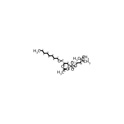 CCCCCCCCOC[C@H](COP(=O)([O-])OCC[N+](C)(C)C)OC(C)=O